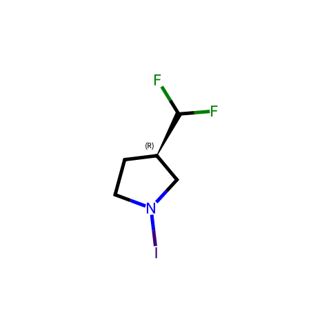 FC(F)[C@@H]1CCN(I)C1